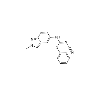 Cn1cc2cc(NC(=NC#N)Oc3ccccc3)ccc2n1